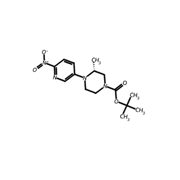 C[C@@H]1CN(C(=O)OC(C)(C)C)CCN1c1ccc([N+](=O)[O-])nc1